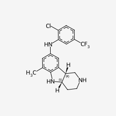 Cc1cc(Nc2cc(C(F)(F)F)ccc2Cl)cc2c1N[C@H]1CCNC[C@@H]21